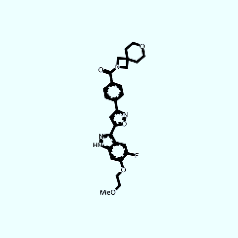 COCCOc1cc2[nH]nc(-c3cc(-c4ccc(C(=O)N5CC6(CCOCC6)C5)cc4)no3)c2cc1F